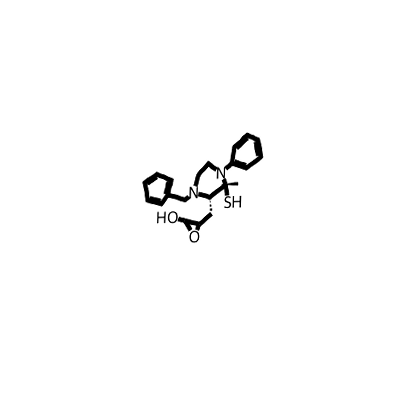 C[C@@]1(S)[C@H](CC2OC2O)N(Cc2ccccc2)CCN1c1ccccc1